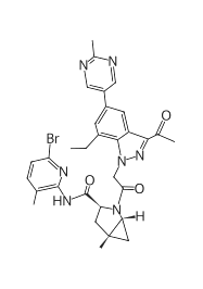 CCc1cc(-c2cnc(C)nc2)cc2c(C(C)=O)nn(CC(=O)N3[C@H](C(=O)Nc4nc(Br)ccc4C)C[C@@]4(C)C[C@@H]34)c12